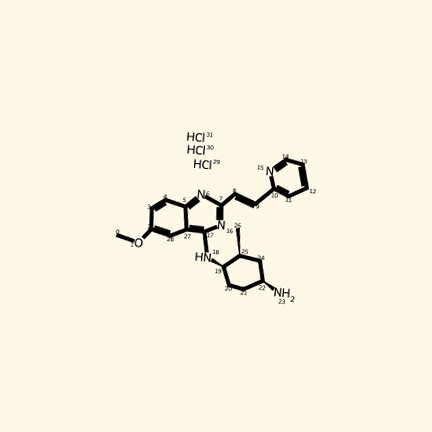 COc1ccc2nc(C=Cc3ccccn3)nc(N[C@@H]3CC[C@H](N)C[C@@H]3C)c2c1.Cl.Cl.Cl